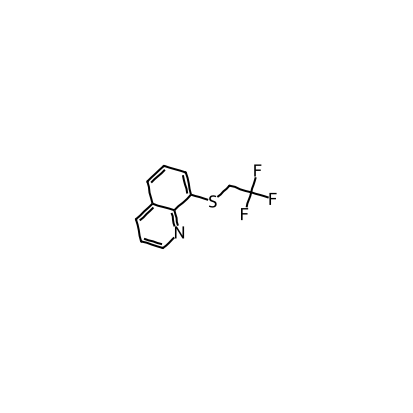 FC(F)(F)CSc1cccc2cccnc12